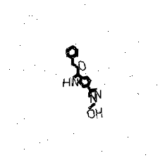 O=C(Cc1ccccc1)c1c[nH]c2cc(-c3cnn(CCO)c3)ccc12